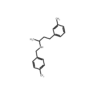 Cc1cccc(CCC(C)NCc2ccc(C(F)(F)F)cc2)c1